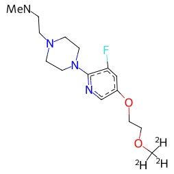 [2H]C([2H])([2H])OCCOc1cnc(N2CCN(CCNC)CC2)c(F)c1